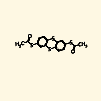 CC(=O)Sc1ccc2c(c1)Sc1ccc(SC(C)=O)cc1S2